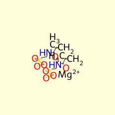 C=C(C)C(=O)NCCS(=O)(=O)[O-].C=C(C)C(=O)NCCS(=O)(=O)[O-].[Mg+2]